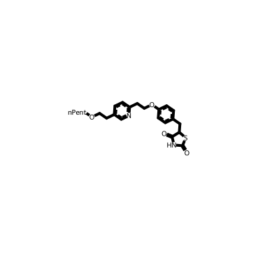 CCCCCOCCc1ccc(CCOc2ccc(CC3SC(=O)NC3=O)cc2)nc1